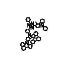 Cc1c(-c2nc(-c3ccccc3)nc(-c3cccc(-n4c5c(c6cc(N(c7ccccc7)c7ccccc7-c7ccccc7)ccc64)C4(c6ccccc6-c6ccccc64)C4C=CC=CC54)c3)n2)ccc2c1c1ccccc1n2-c1ccccc1